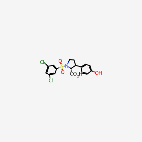 O=C(O)[C@@H]1C(c2ccc(O)cc2)CCN1S(=O)(=O)c1cc(Cl)cc(Cl)c1